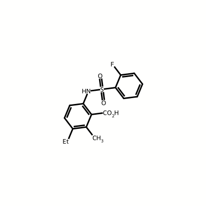 CCc1ccc(NS(=O)(=O)c2ccccc2F)c(C(=O)O)c1C